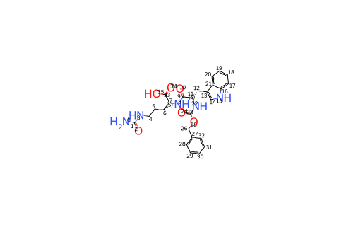 NC(=O)NCCC[C@H](NC(=O)[C@H](Cc1c[nH]c2ccccc12)NC(=O)OCc1ccccc1)C(=O)O